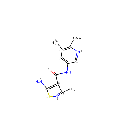 COc1ncc(NC(=O)c2c(C)nsc2N)cc1C